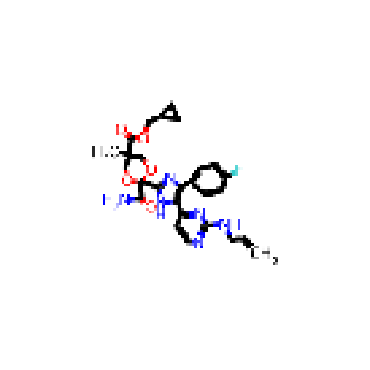 C=CCNc1nccc(-c2[nH]c(C3(C(N)=O)OCC(C)(C(=O)OCC4CC4)CO3)nc2-c2ccc(F)cc2)n1